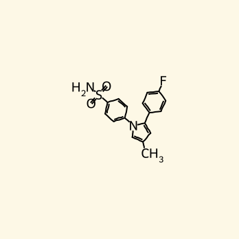 Cc1cc(-c2ccc(F)cc2)n(-c2ccc(S(N)(=O)=O)cc2)c1